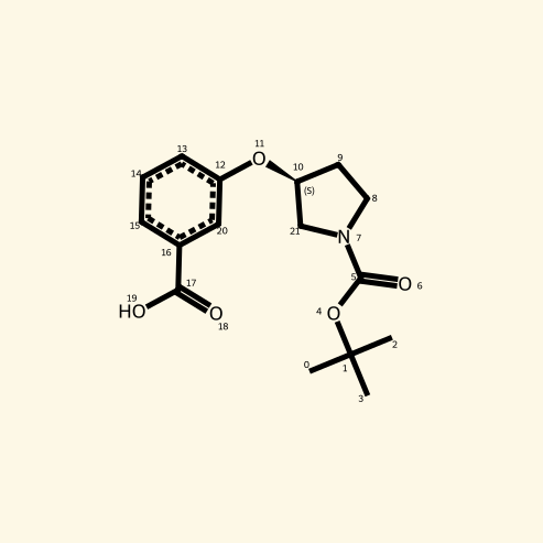 CC(C)(C)OC(=O)N1CC[C@H](Oc2cccc(C(=O)O)c2)C1